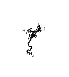 CC/C=C\C/C=C\C/C=C\C/C=C\C/C=C\CCCC(=O)OCCNC(=O)OCC(COC(=O)c1ccc(N)cc1O)OC(=O)/C=C/C(=O)OC